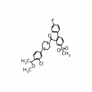 COC(C)c1ccc(N2CCN(C(=O)c3cc(S(C)(=O)=O)ccc3-c3ccc(F)cc3)CC2)cc1Cl